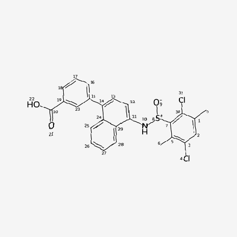 Cc1cc(Cl)c(C)c([S+]([O-])Nc2ccc(-c3cccc(C(=O)O)c3)c3ccccc23)c1Cl